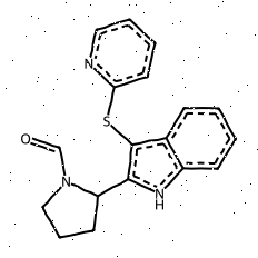 O=CN1CCCC1c1[nH]c2ccccc2c1Sc1ccccn1